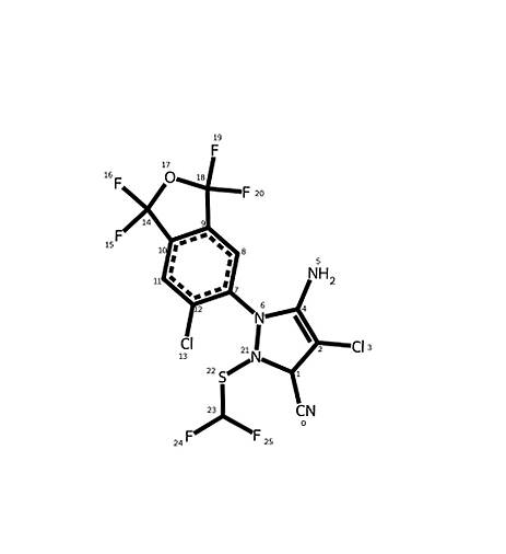 N#CC1C(Cl)=C(N)N(c2cc3c(cc2Cl)C(F)(F)OC3(F)F)N1SC(F)F